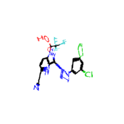 N#Cc1ccc2[nH]nc(Nc3cc(Cl)cc(Cl)c3)c2n1.O=C(O)C(F)(F)F